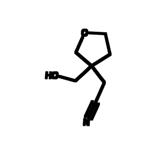 N#CCC1(CO)CCOC1